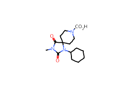 CN1C(=O)N(C2CCCCC2)C2(CCN(C(=O)O)CC2)C1=O